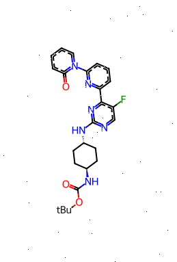 CC(C)(C)OC(=O)N[C@H]1CC[C@H](Nc2ncc(F)c(-c3cccc(-n4ccccc4=O)n3)n2)CC1